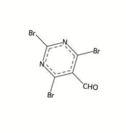 O=Cc1c(Br)nc(Br)nc1Br